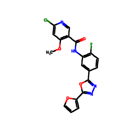 COc1cc(Cl)ncc1C(=O)Nc1cc(-c2nnc(-c3ccco3)o2)ccc1F